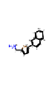 NCc1ccc(-c2ccc3ccccc3c2)s1